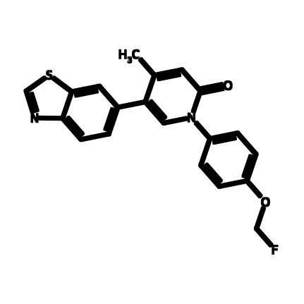 Cc1cc(=O)n(-c2ccc(OCF)cc2)cc1-c1ccc2ncsc2c1